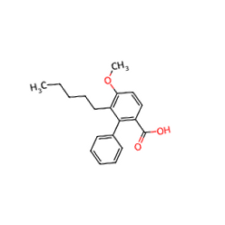 CCCCCc1c(OC)ccc(C(=O)O)c1-c1ccccc1